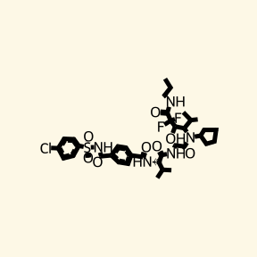 CCCNC(=O)C(F)(F)C(O)C(C(C)C)N(C(=O)CNC(=O)[C@@H](NC(=O)c1ccc(C(=O)NS(=O)(=O)c2ccc(Cl)cc2)cc1)C(C)C)C1CCCC1